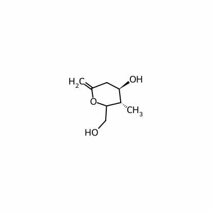 C=C1C[C@@H](O)[C@H](C)C(CO)O1